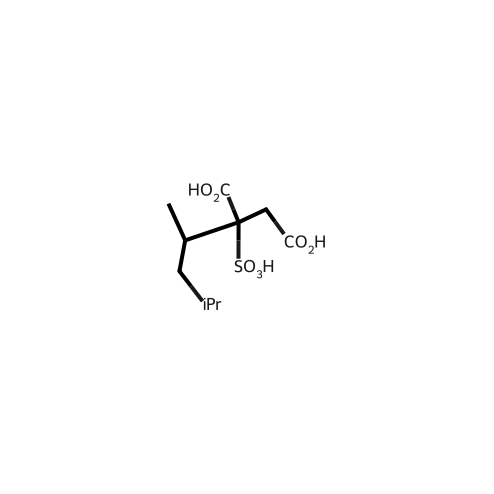 CC(C)CC(C)C(CC(=O)O)(C(=O)O)S(=O)(=O)O